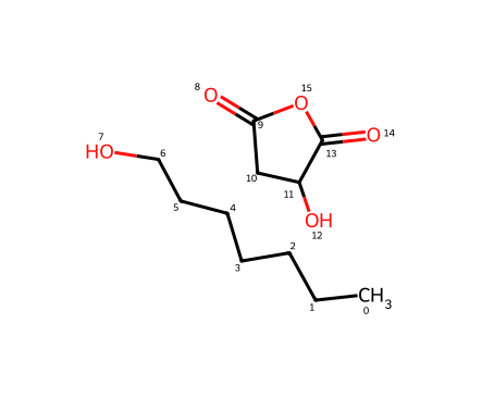 CCCCCCCO.O=C1CC(O)C(=O)O1